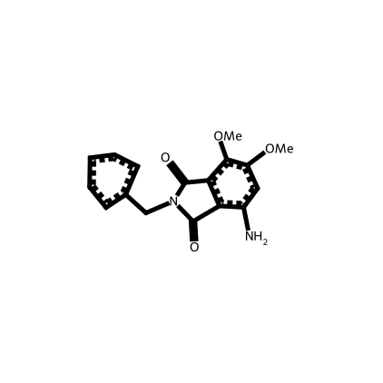 COc1cc(N)c2c(c1OC)C(=O)N(Cc1ccccc1)C2=O